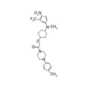 Cc1ccc(N2CCN(C(=O)COC3CCC(N(C)c4ccc([N+](=O)[O-])c(C(F)(F)F)c4)CC3)CC2)cc1